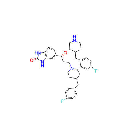 Fc1ccc(CC2CCNCC2)cc1.O=C(CCN1CCC(Cc2ccc(F)cc2)CC1)c1ccc2[nH]c(=O)[nH]c2c1